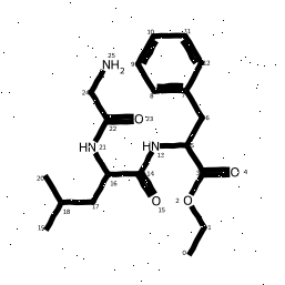 CCOC(=O)C(Cc1ccccc1)NC(=O)C(CC(C)C)NC(=O)CN